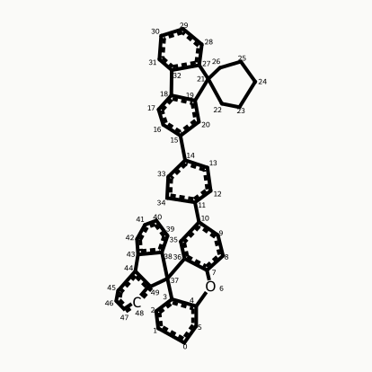 c1ccc2c(c1)Oc1ccc(-c3ccc(-c4ccc5c(c4)C4(CCCCC4)c4ccccc4-5)cc3)cc1C21c2ccccc2-c2ccccc21